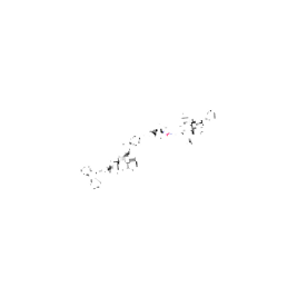 C/C(=C\CN(C)C(=O)C(NC(=O)C(N(C)C(=O)OC(C)(C)C)C(C)(C)c1ccccc1)C(C)(C)C)C(=O)NN(O)SCc1ccc(NC(=O)CNC(=O)C(Cc2ccccc2)NC(=O)OCC2c3ccccc3-c3ccccc32)cc1